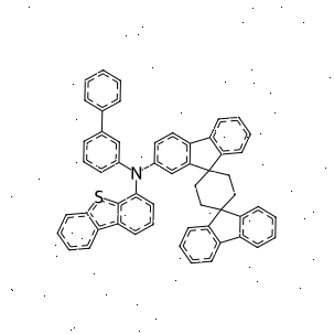 c1ccc(-c2cccc(N(c3ccc4c(c3)C3(CCC5(CC3)c3ccccc3-c3ccccc35)c3ccccc3-4)c3cccc4c3sc3ccccc34)c2)cc1